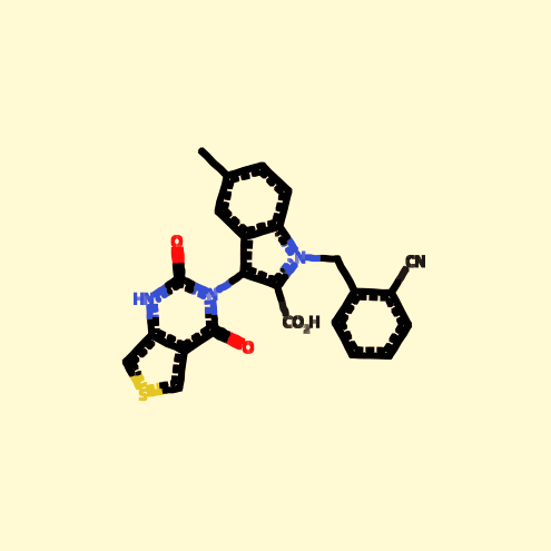 Cc1ccc2c(c1)c(-n1c(=O)[nH]c3cscc3c1=O)c(C(=O)O)n2Cc1ccccc1C#N